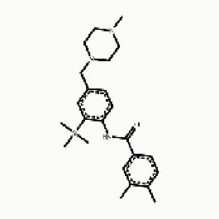 Cc1ccc(C(=O)Nc2ccc(CN3CCN(C)CC3)cc2[Si](C)(C)C)cc1C